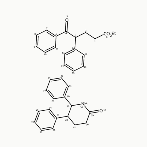 CCOC(=O)CCC(C(=O)c1ccccc1)c1ccccc1.O=C1CCC(c2ccccc2)C(c2ccccc2)N1